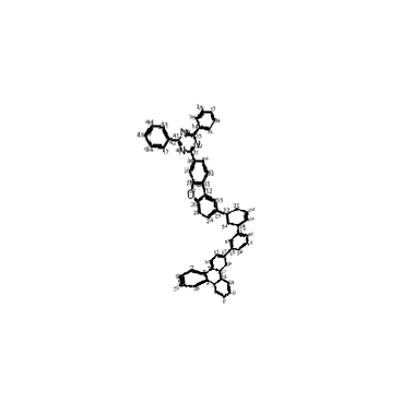 C1=CC2c3ccccc3C3=CC=C(c4cccc(C5C=CCC(c6ccc7oc8cc(-c9nc(-c%10ccccc%10)nc(-c%10ccccc%10)n9)ccc8c7c6)C5)c4)CC3C2C=C1